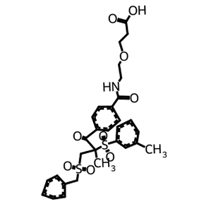 Cc1cccc(S(=O)(=O)C(C)(CS(=O)(=O)Cc2ccccc2)C(=O)c2ccc(C(=O)NCCOCCC(=O)O)cc2)c1